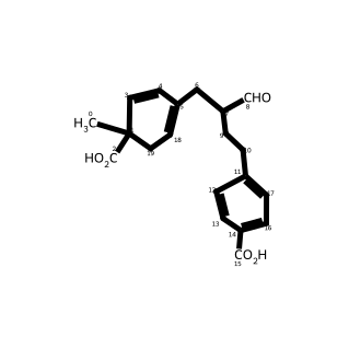 CC1(C(=O)O)C=CC(CC(C=O)CCc2ccc(C(=O)O)cc2)=CC1